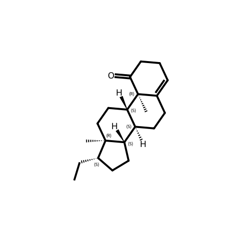 CC[C@H]1CC[C@H]2[C@@H]3CCC4=CCCC(=O)[C@]4(C)[C@H]3CC[C@]12C